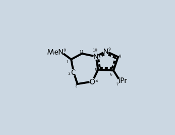 CNC1CCOc2c(C(C)C)cnn2C1